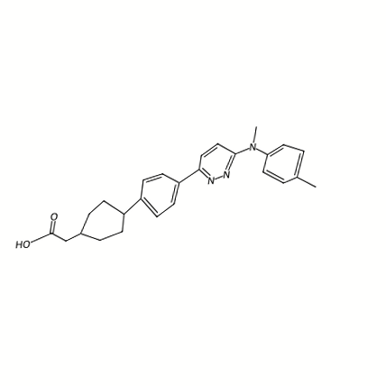 Cc1ccc(N(C)c2ccc(-c3ccc(C4CCC(CC(=O)O)CC4)cc3)nn2)cc1